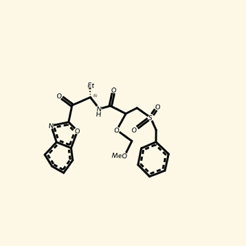 CC[C@H](NC(=O)C(CS(=O)(=O)Cc1ccccc1)OCOC)C(=O)c1nc2ccccc2o1